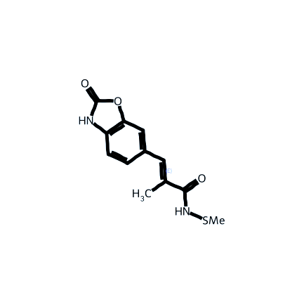 CSNC(=O)/C(C)=C/c1ccc2[nH]c(=O)oc2c1